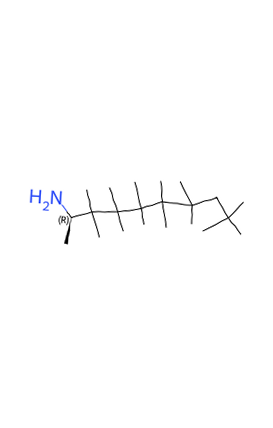 C[C@@H](N)C(C)(C)C(C)(C)C(C)(C)C(C)(C)C(C)(C)CC(C)(C)C